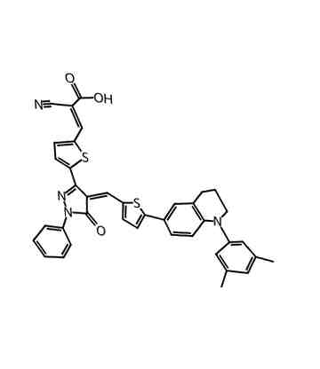 Cc1cc(C)cc(N2CCCc3cc(-c4ccc(/C=C5\C(=O)N(c6ccccc6)N=C5c5ccc(/C=C(\C#N)C(=O)O)s5)s4)ccc32)c1